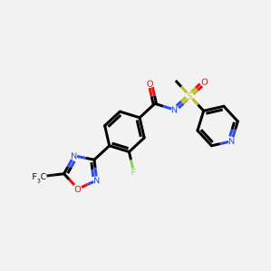 CS(=O)(=NC(=O)c1ccc(-c2noc(C(F)(F)F)n2)c(F)c1)c1ccncc1